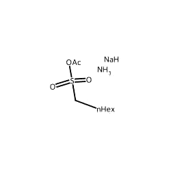 CCCCCCCS(=O)(=O)OC(C)=O.N.[NaH]